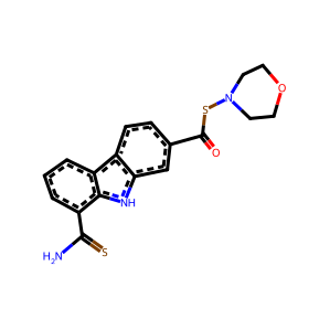 NC(=S)c1cccc2c1[nH]c1cc(C(=O)SN3CCOCC3)ccc12